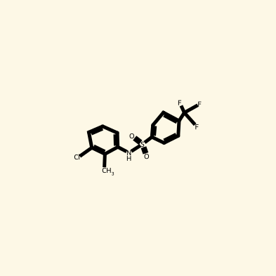 Cc1c(Cl)cccc1NS(=O)(=O)c1ccc(C(F)(F)F)cc1